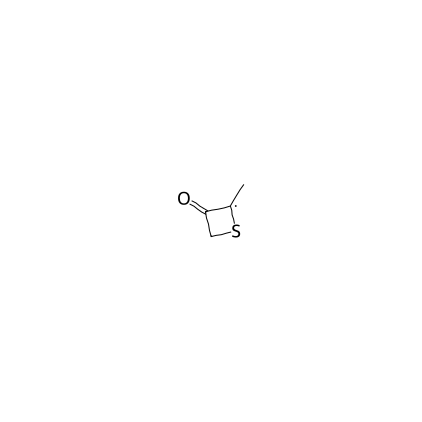 C[C]1SCC1=O